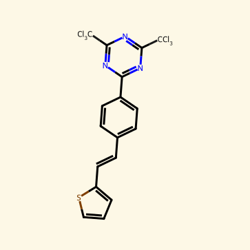 ClC(Cl)(Cl)c1nc(-c2ccc(C=Cc3cccs3)cc2)nc(C(Cl)(Cl)Cl)n1